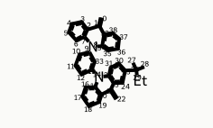 C=C1c2ccccc2N(c2cccc(N3c4ccccc4C(=C)c4cc(C(C)(C)CC)ccc43)c2)c2ccccc21